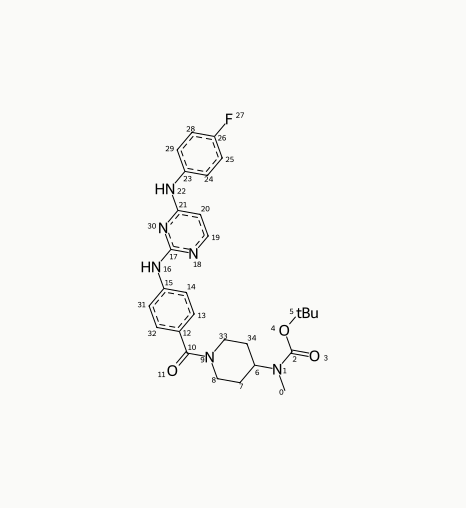 CN(C(=O)OC(C)(C)C)C1CCN(C(=O)c2ccc(Nc3nccc(Nc4ccc(F)cc4)n3)cc2)CC1